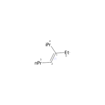 C[CH]/C(=C/CCC)C(C)C